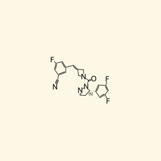 N#Cc1cc(F)cc(C=C2CN(C(=O)N3N=CC[C@H]3c3cc(F)cc(F)c3)C2)c1